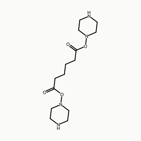 O=C(CCCCC(=O)ON1CCNCC1)ON1CCNCC1